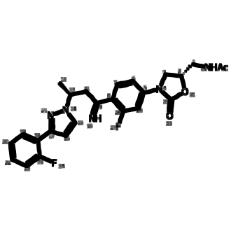 CC(=O)NC[C@H]1CN(c2ccc(C(=N)C[C@H](C)n3ccc(-c4ccccc4F)n3)c(F)c2)C(=O)O1